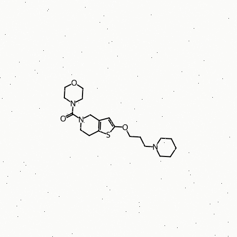 O=C(N1CCOCC1)N1CCc2sc(OCCCN3CCCCC3)cc2C1